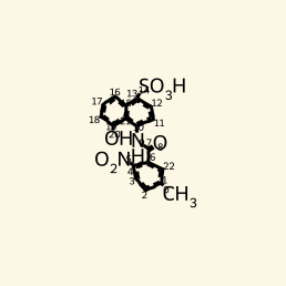 Cc1ccc([N+](=O)[O-])c(C(=O)Nc2ccc(S(=O)(=O)O)c3cccc(O)c23)c1